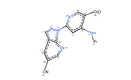 CC(C)Nc1cc(-n2ncc3cc(C#N)cnc32)ncc1C=O